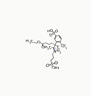 CCOC(=O)CCCC(C)(/C(C)=N/CCCS(=O)(=O)O)c1cc(S(=O)(=O)O)ccc1C